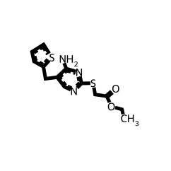 CCOC(=O)CSc1ncc(Cc2cccs2)c(N)n1